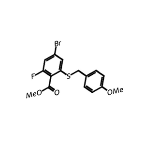 COC(=O)c1c(F)cc(Br)cc1SCc1ccc(OC)cc1